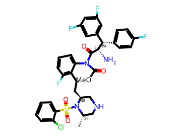 COC(=O)N(C(=O)[C@@H](N)[C@@H](c1ccc(F)cc1)c1cc(F)cc(F)c1)c1cccc(F)c1CC[C@H]1CNC[C@H](C)N1S(=O)(=O)c1ccccc1Cl